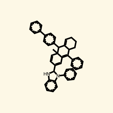 CC12C=CC(C3Nc4ccccc4N3c3ccccc3)=CC1=C(c1ccccc1)C1CCCC=C1C2c1ccc(-c2ccccc2)cc1